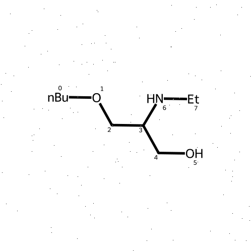 CCCCOCC(CO)NCC